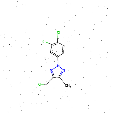 Cc1nn(-c2ccc(Cl)c(Cl)c2)nc1CCl